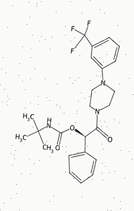 CC(C)(C)NC(=O)O[C@@H](C(=O)N1CCN(c2cccc(C(F)(F)F)c2)CC1)c1ccccc1